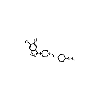 N[C@H]1CC[C@H](CCN2CCN(c3noc4cc(Cl)c(Cl)cc34)CC2)CC1